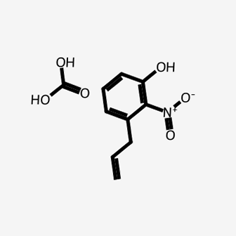 C=CCc1cccc(O)c1[N+](=O)[O-].O=C(O)O